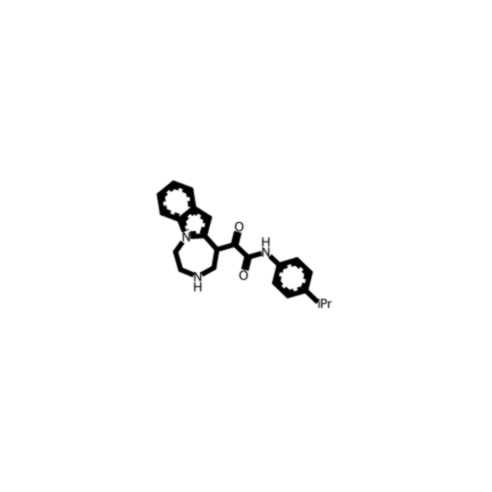 CC(C)c1ccc(NC(=O)C(=O)C2CNCCn3c2cc2ccccc23)cc1